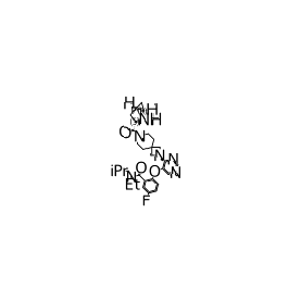 CCN(C(=O)c1cc(F)ccc1Oc1cncnc1N1CC2(CCN(C(=O)[C@@H]3C[C@H]4C[C@H]4N3)CC2)C1)C(C)C